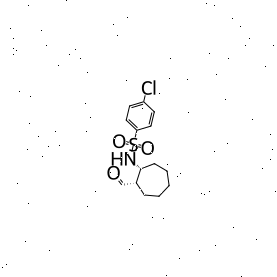 O=C[C@H]1CCCCC[C@H]1NS(=O)(=O)c1ccc(Cl)cc1